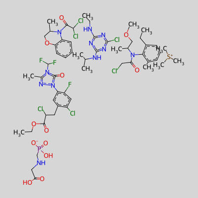 CC1COc2ccccc2N1C(=O)C(Cl)Cl.CCNc1nc(Cl)nc(NC(C)C)n1.CCOC(=O)C(Cl)Cc1cc(-n2nc(C)n(C(F)F)c2=O)c(F)cc1Cl.CCc1cccc(C)c1N(C(=O)CCl)C(C)COC.C[S+](C)C.O=C(O)CNCP(=O)([O-])O